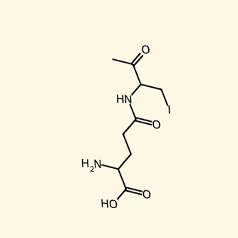 CC(=O)C(CI)NC(=O)CCC(N)C(=O)O